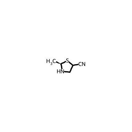 C[C@@H]1NCC(C#N)S1